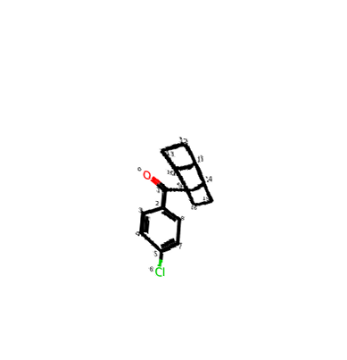 O=C(c1ccc(Cl)cc1)C12C3C4C5C3C1C5C42